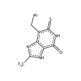 CC(C)Cn1c(=S)[nH]c(=O)c2[nH]c(C(F)(F)F)nc21